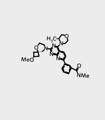 CNC(=O)c1cccc(-c2ccc3c(N4CCOC[C@@H]4C)nc(N4CCO[C@]5(C4)C[C@H](OC)C5)nc3n2)c1